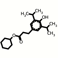 CC(C)c1cc(CCC(=O)OC2CCCCC2)cc(C(C)C)c1O